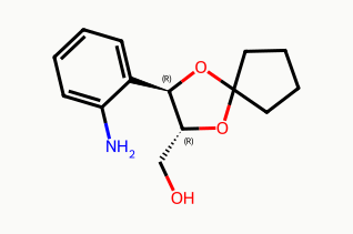 Nc1ccccc1[C@H]1OC2(CCCC2)O[C@@H]1CO